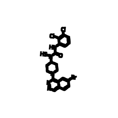 O=C(Nc1cccc(Cl)c1Cl)N(S)C1CCN(c2nncc3ccc(Br)cc23)CC1